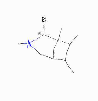 CC[C@H]1N(C)CC2C(C)C(C)C21C